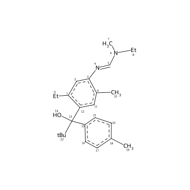 CCc1cc(/N=C/N(C)CC)c(C)cc1C(O)(c1ccc(C)cc1)C(C)(C)C